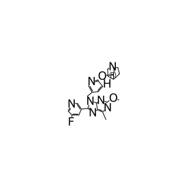 COc1nc(C)c2nc(-c3cncc(F)c3)n(Cc3ccc(O[C@H]4CN5CCC4CC5)nc3)c2n1